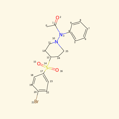 CC(=O)N(c1ccccc1)N1CCC(S(=O)(=O)c2ccc(Br)cc2)CC1